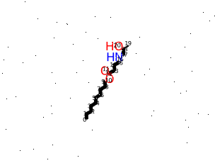 CCCCCCCCCCOC(=O)CCCNC[C@H](C)O